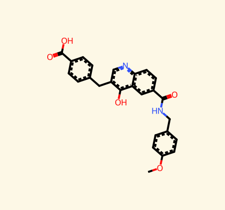 COc1ccc(CNC(=O)c2ccc3ncc(Cc4ccc(C(=O)O)cc4)c(O)c3c2)cc1